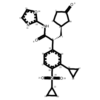 O=C1CC[C@H](C[C@@H](C(=O)Nc2ncco2)c2ccc(S(=O)(=O)C3CC3)c(C3CC3)c2)C1